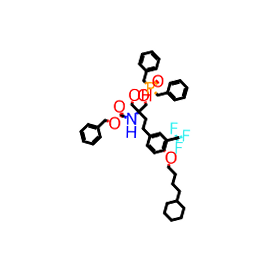 O=C(NC(CO)(CCc1ccc(OCCCCC2CCCCC2)c(C(F)(F)F)c1)COP(=O)(Cc1ccccc1)Cc1ccccc1)OCc1ccccc1